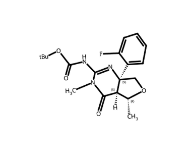 C[C@H]1OC[C@]2(c3ccccc3F)N=C(NC(=O)OC(C)(C)C)N(C)C(=O)[C@H]12